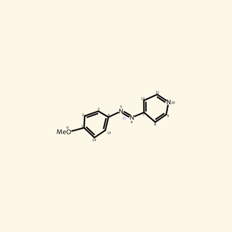 COc1ccc(/N=N/c2ccncc2)cc1